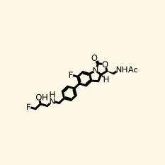 CC(=O)NC[C@@H]1OC(=O)N2c3cc(F)c(-c4ccc(CNCC(O)CF)cc4)cc3C[C@@H]12